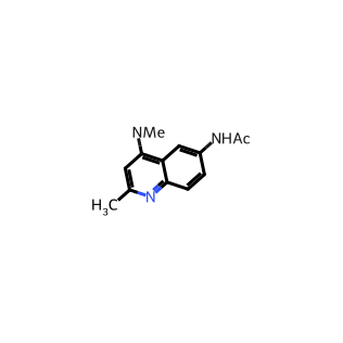 CNc1cc(C)nc2ccc(NC(C)=O)cc12